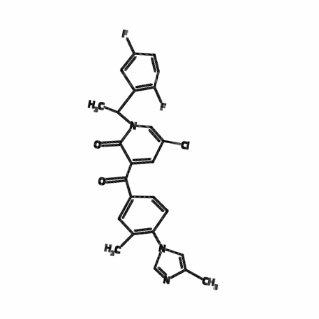 Cc1cn(-c2ccc(C(=O)c3cc(Cl)cn(C(C)c4cc(F)ccc4F)c3=O)cc2C)cn1